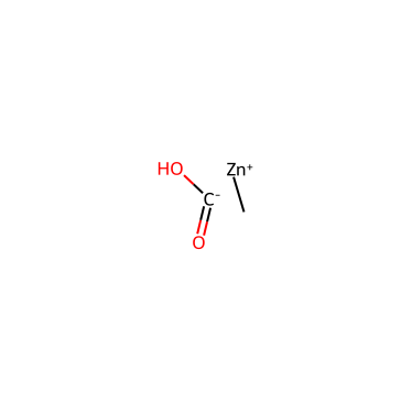 O=[C-]O.[CH3][Zn+]